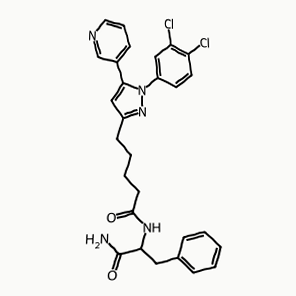 NC(=O)C(Cc1ccccc1)NC(=O)CCCCc1cc(-c2cccnc2)n(-c2ccc(Cl)c(Cl)c2)n1